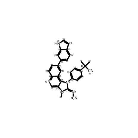 Cn1c(=NC#N)n(-c2ccc(C(C)(C)C#N)cc2)c2c3cc(-c4ccc5cc[nH]c5c4)ccc3ncc21